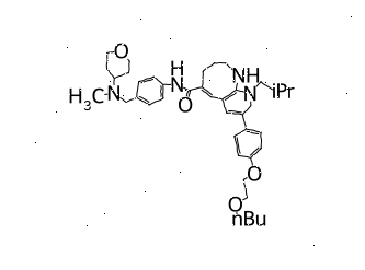 CCCCOCCOc1ccc(C2=CC3=C(NCCCC(C(=O)Nc4ccc(CN(C)C5CCOCC5)cc4)=C3)N(CC(C)C)C2)cc1